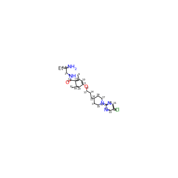 CC[C@@H](N)CNC(=O)c1c(C)cc(OCCCC2CCN(c3ncc(Cl)cn3)CC2)cc1C